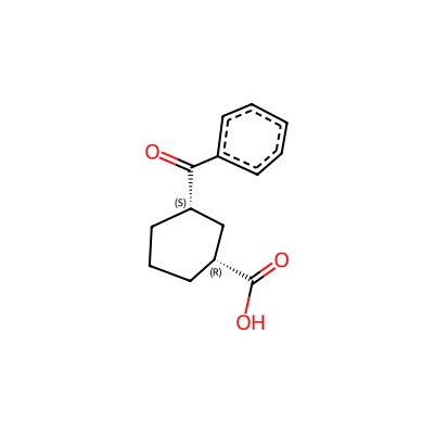 O=C(O)[C@@H]1CCC[C@H](C(=O)c2ccccc2)C1